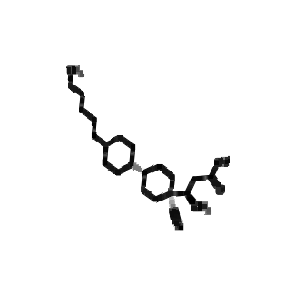 CCCCCCC1CCC([C@H]2CC[C@](C#N)([C@H](C)CC(=O)O)CC2)CC1